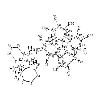 CC1CCCCC1(C)[NH+](C)C1(C)CCCCC1C.Fc1c(F)c(F)c([B-](c2c(F)c(F)c(F)c(F)c2F)(c2c(F)c(F)c(F)c(F)c2F)c2c(F)c(F)c(F)c(F)c2F)c(F)c1F